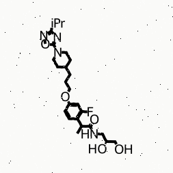 CC(C)c1noc(N2CCC(CCCOc3ccc(C(C)C(=O)NC[C@H](O)CO)c(F)c3)CC2)n1